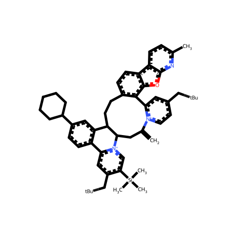 C=C1CC2C(CCc3ccc4c(oc5nc(C)ccc54)c3-c3cc(CC(C)(C)C)cc[n+]31)c1cc(C3CCCCC3)ccc1-c1cc(CC(C)(C)C)c([Si](C)(C)C)c[n+]12